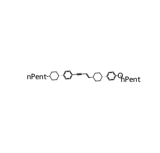 CCCCCOc1ccc([C@H]2CC[C@H](C=CC#Cc3ccc([C@H]4CC[C@H](CCCCC)CC4)cc3)CC2)cc1